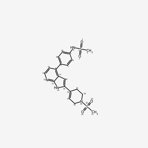 CS(=O)(=O)Nc1ccc(-c2ccnc3[nH]c(C4=CCN(S(C)(=O)=O)CC4)cc23)cc1